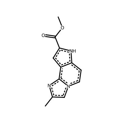 COC(=O)c1cc2c(ccn3cc(C)nc23)[nH]1